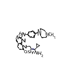 CN1CCN(c2ccc(Nc3ncc4ccc(=O)n(C/C(S)=C(/N)C5CC5)c4n3)cc2)CC1